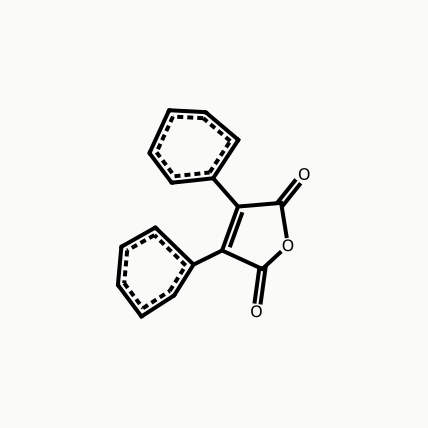 O=C1OC(=O)C(c2ccccc2)=C1c1ccccc1